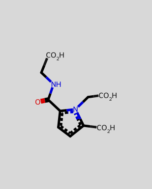 O=C(O)CNC(=O)c1ccc(C(=O)O)n1CC(=O)O